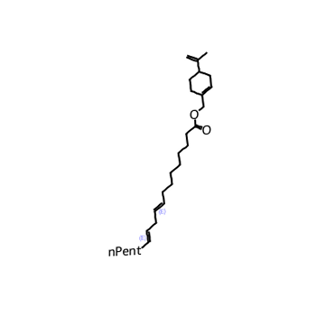 C=C(C)C1CC=C(COC(=O)CCCCCCC/C=C/C/C=C/CCCCC)CC1